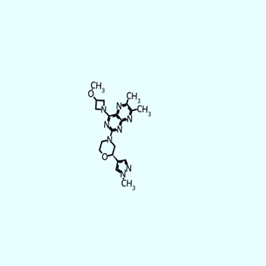 COC1CN(c2nc(N3CCO[C@H](c4cnn(C)c4)C3)nc3nc(C)c(C)nc23)C1